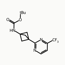 CC(C)(C)OC(=O)NC12CC(c3nccc(C(F)(F)F)n3)(C1)C2